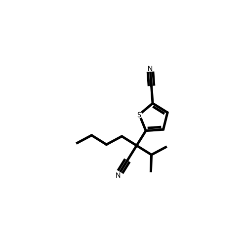 CCCCC(C#N)(c1ccc(C#N)s1)C(C)C